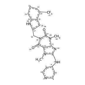 Cn1c(Nc2ccncc2)nc2c1c(=O)n(Cc1cc3c(C(F)(F)F)cccc3[nH]1)c(=O)n2C